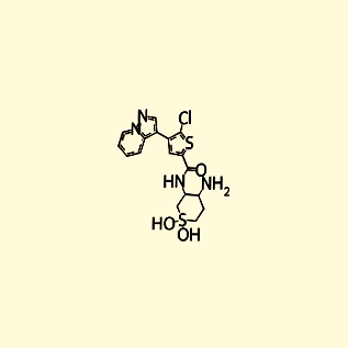 NC1CCS(O)(O)CC1NC(=O)c1cc(-c2cnn3ccccc23)c(Cl)s1